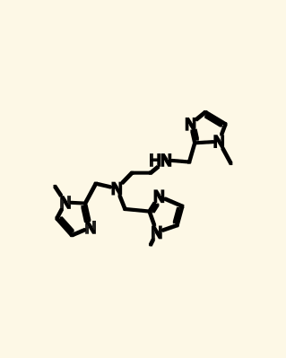 Cn1ccnc1CNCCN(Cc1nccn1C)Cc1nccn1C